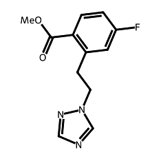 COC(=O)c1ccc(F)cc1CCn1cncn1